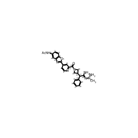 CC(=O)Nc1ccc2oc(-c3ccnc(C(=O)N4CC(C(/C(N)=N/N(C)N)c5ccccc5)C4)c3)nc2c1